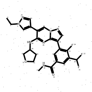 CCn1cc(-c2cn3ncc(-c4cc(C(=O)NC)cc(C(F)F)c4F)c3nc2NC2CCOC2)cn1